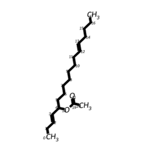 CCC=CC(CCCCCCCC=CCCCC)OC(C)=O